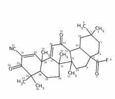 CC1(C)CCC2(C(=O)F)CCC3(C)C(C(=O)C=C4C5(C)C=C(C#N)C(=O)C(C)(C)C5CCC43C)C2C1